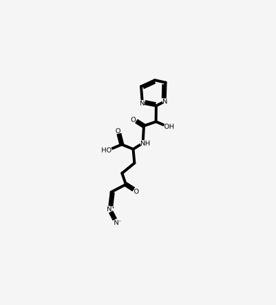 [N-]=[N+]=CC(=O)CCC(NC(=O)C(O)c1ncccn1)C(=O)O